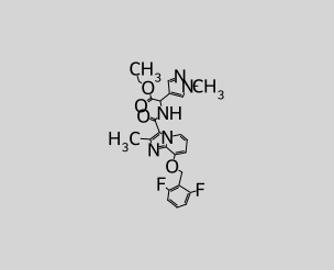 CCOC(=O)C(NC(=O)c1c(C)nc2c(OCc3c(F)cccc3F)cccn12)c1cnn(C)c1